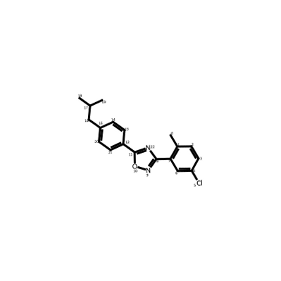 Cc1ccc(Cl)cc1-c1noc(-c2ccc(CC(C)C)cc2)n1